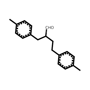 Cc1ccc(CCC(C=O)Cc2ccc(C)cc2)cc1